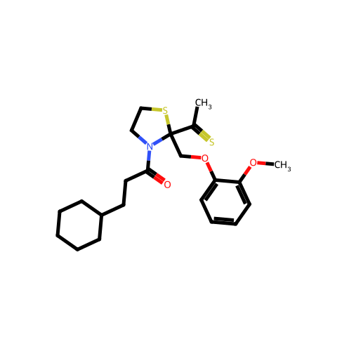 COc1ccccc1OCC1(C(C)=S)SCCN1C(=O)CCC1CCCCC1